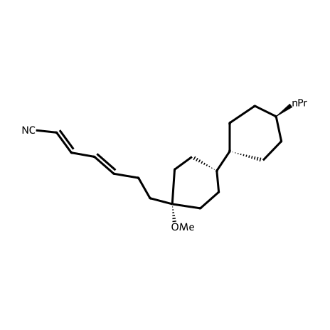 CCC[C@H]1CC[C@H]([C@H]2CC[C@@](CCC=CC=CC#N)(OC)CC2)CC1